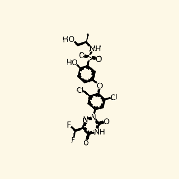 C[C@H](CO)NS(=O)(=O)c1cc(Oc2c(Cl)cc(-n3nc(C(F)F)c(=O)[nH]c3=O)cc2Cl)ccc1O